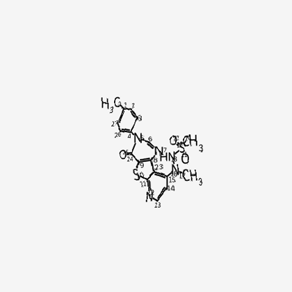 Cc1ccc(-n2cnc3c(sc4nccc(N(C)NS(C)(=O)=O)c43)c2=O)cc1